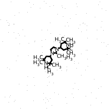 CC1N(C2CC(C)(C)NC(C)(C)C2)CCN1C1CC(C)(C)NC(C)(C)C1